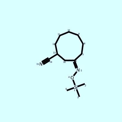 C[Si](C)(C)ON=C1CCCCCCC(C#N)C1